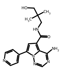 CC(C)(CO)CNC(=O)c1cc(-c2ccncc2)n2ncnc(N)c12